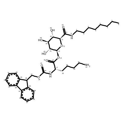 CCCCCCCCNC(=O)[C@H]1O[C@@H](OC(=O)[C@H](CCCCN)NC(=O)OCC2c3ccccc3-c3ccccc32)[C@H](O)[C@@H](O)[C@@H]1O